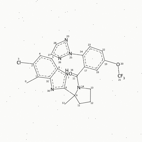 Cc1c(Cl)ccc2[nH]c(C3(C)CCCN3C(=O)c3cc(OC(F)(F)F)ccc3-n3nccn3)nc12